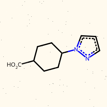 O=C(O)C1CCC(n2c[c]cn2)CC1